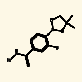 CCNC(=O)c1ccc(B2OCC(C)(C)O2)c(F)c1